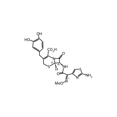 CO/N=C(\C(=O)N[C@@H]1C(=O)N2C(C(=O)O)=C(Cc3ccc(O)c(O)c3)CS[C@@H]12)c1csc(N)n1